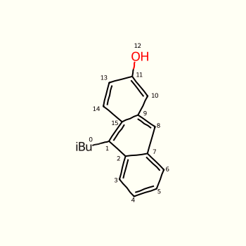 CCC(C)c1c2ccccc2cc2cc(O)ccc12